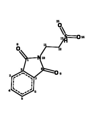 O=C1c2ccccc2C(=O)N1CC[SH](=O)=O